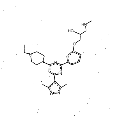 CCN1CCN(c2cc(-c3c(C)noc3C)nc(-c3cccc(OCC(O)CNC)c3)n2)CC1